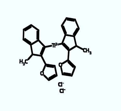 CC1C(c2ccco2)=[C]([Ti+2][C]2=C(c3ccco3)C(C)c3ccccc32)c2ccccc21.[Cl-].[Cl-]